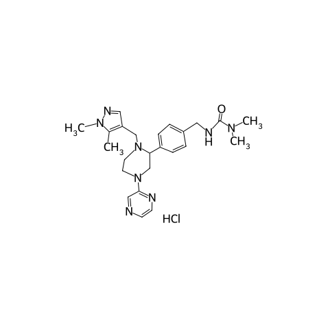 Cc1c(CN2CCN(c3cnccn3)CC2c2ccc(CNC(=O)N(C)C)cc2)cnn1C.Cl